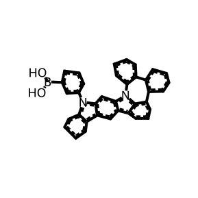 OB(O)c1cccc(-n2c3ccccc3c3cc4c5cccc6c5n(c4cc32)-c2ccccc2-c2ccccc2-6)c1